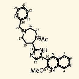 COc1nc2ccccc2cc1-c1cnc(C2CCN(Cc3ccccn3)CCN2C(C)=O)[nH]1